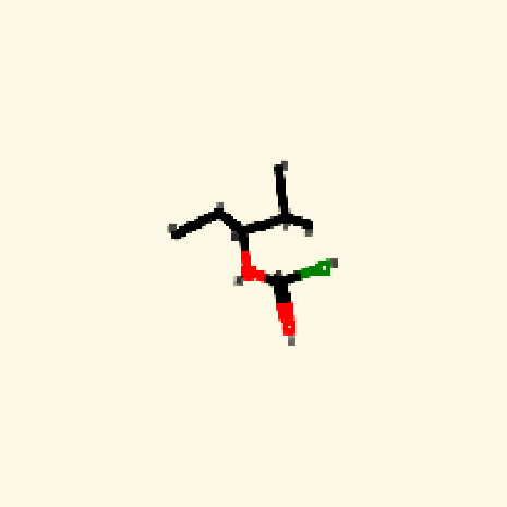 CCC(OC(=O)Cl)C(C)C